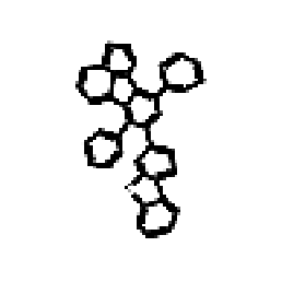 c1ccc(-c2cc(-c3ccc4c(c3)sc3ccccc34)c(-c3ccccc3)c3c2-c2cccc4cccc-3c24)cc1